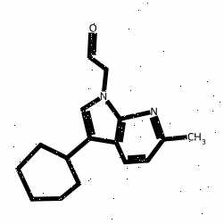 Cc1ccc2c(C3CCCCC3)cn(CC=O)c2n1